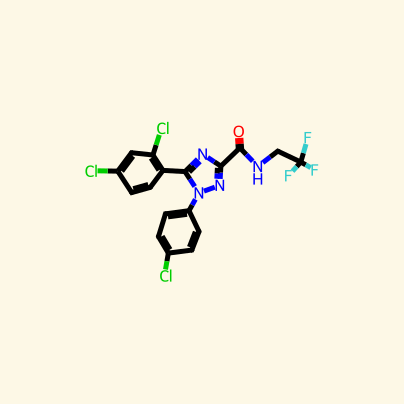 O=C(NCC(F)(F)F)c1nc(-c2ccc(Cl)cc2Cl)n(-c2ccc(Cl)cc2)n1